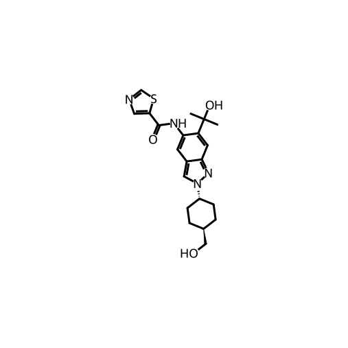 CC(C)(O)c1cc2nn([C@H]3CC[C@H](CO)CC3)cc2cc1NC(=O)c1cncs1